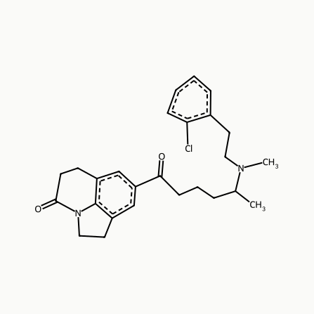 CC(CCCC(=O)c1cc2c3c(c1)CCN3C(=O)CC2)N(C)CCc1ccccc1Cl